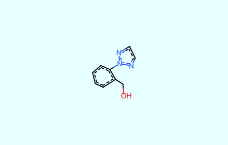 OCc1ccccc1-n1nccn1